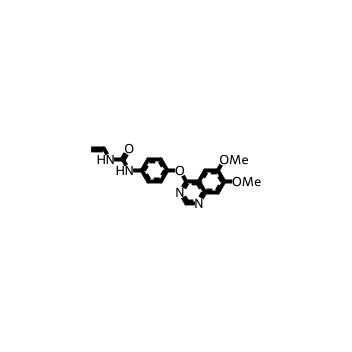 C=CNC(=O)Nc1ccc(Oc2ncnc3cc(OC)c(OC)cc23)cc1